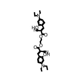 CCN(CC)c1ccc(/C=C(\C#N)C(=O)OCCOC(=O)/C(C#N)=C/c2ccc(N(CC)CC)cc2O)c(O)c1